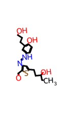 CCC(O)CCc1cc(/N=C\Nc2ccc(O)c(CCCO)c2)c(C=O)s1